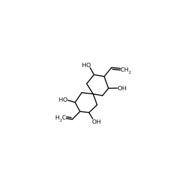 C=CC1C(O)CC2(CC1O)CC(O)C(C=C)C(O)C2